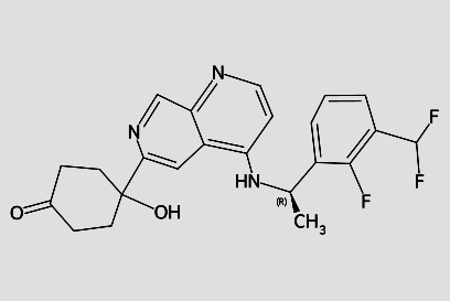 C[C@@H](Nc1ccnc2cnc(C3(O)CCC(=O)CC3)cc12)c1cccc(C(F)F)c1F